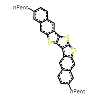 CCCCCc1ccc2cc3c(cc2c1)sc1c3sc2sc3cc4cc(CCCCC)ccc4cc3c21